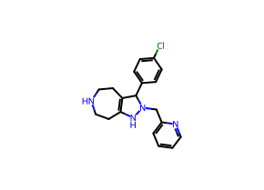 Clc1ccc(C2C3=C(CCNCC3)NN2Cc2ccccn2)cc1